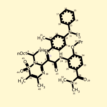 CCCCCCCCC(CCCCCC)N1C(/C(=N/c2ccc(N(CC)c3ccccc3)cc2C)C(=O)Nc2cc(C(=O)N(C)C)ccc2OC(C)C)=NC(C)=C(C)S1(=O)=O